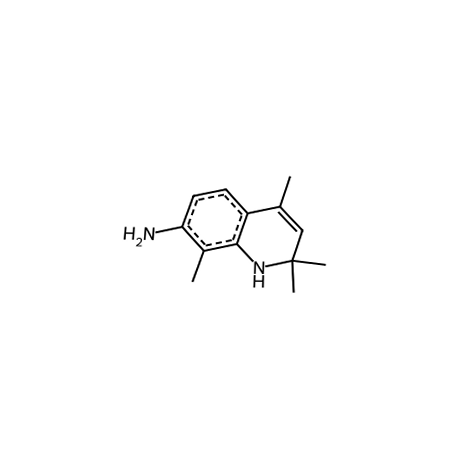 CC1=CC(C)(C)Nc2c1ccc(N)c2C